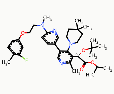 Cc1ccc(OCCN(C)c2ccc(-c3cnc(C)c([C@H](OC(C)(C)C)C(=O)OC(C)C)c3N3CCC(C)(C)CC3)cn2)cc1F